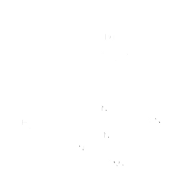 C=C1CCc2c(nc(SC)nc2N2CCC(C(=O)OC(C)(C)C)=CC(CC#N)C2)C1